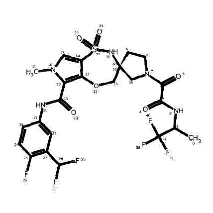 CC(NC(=O)C(=O)N1CC[C@]2(COc3c(cn(C)c3C(=O)Nc3ccc(F)c(C(F)F)c3)S(=O)(=O)N2)C1)C(F)(F)F